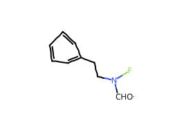 O=[C]N(F)CCc1ccccc1